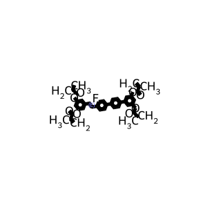 C=C(C)C(=O)Oc1cc(/C=C/c2ccc(-c3ccc(-c4cc(OC(=O)C(=C)C)cc(OC(=O)C(=C)C)c4)cc3)cc2F)cc(OC(=O)C(=C)C)c1